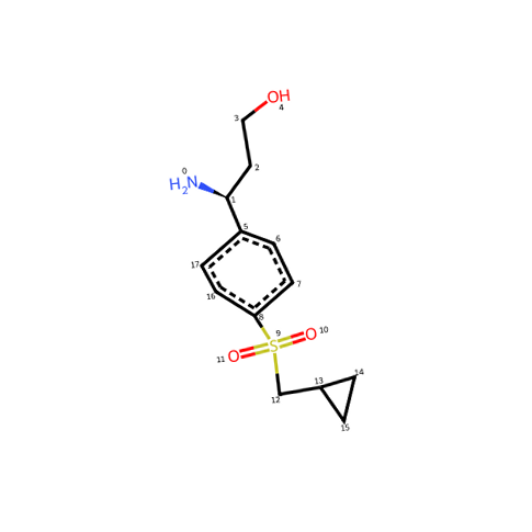 N[C@@H](CCO)c1ccc(S(=O)(=O)CC2CC2)cc1